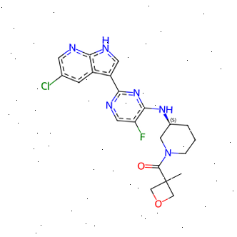 CC1(C(=O)N2CCC[C@H](Nc3nc(-c4c[nH]c5ncc(Cl)cc45)ncc3F)C2)COC1